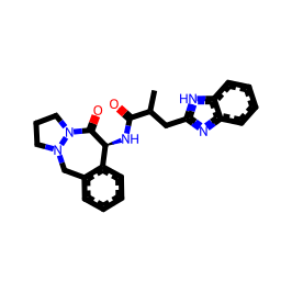 CC(Cc1nc2ccccc2[nH]1)C(=O)N[C@@H]1C(=O)N2CCCN2Cc2ccccc21